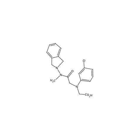 CN(C(=O)CN(CC(=O)O)c1cccc(Cl)c1)N1Cc2ccccc2C1